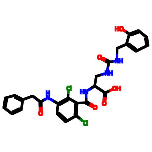 O=C(Cc1ccccc1)Nc1ccc(Cl)c(C(=O)NC(CNC(=O)NCc2ccccc2O)C(=O)O)c1Cl